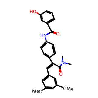 COc1cc(/C=C(\C(=O)N(C)C)c2ccc(NC(=O)c3cccc(O)c3)cc2)cc(OC)c1